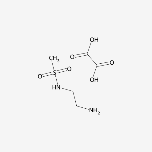 CS(=O)(=O)NCCN.O=C(O)C(=O)O